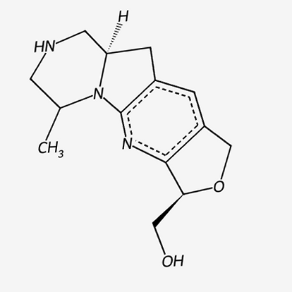 CC1CNC[C@H]2Cc3cc4c(nc3N12)[C@H](CO)OC4